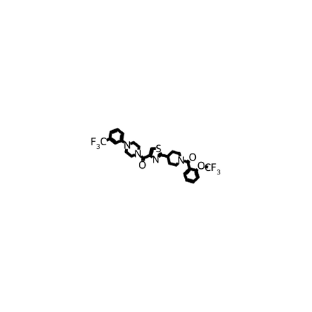 O=C(c1csc(C2CCN(C(=O)c3ccccc3OC(F)(F)F)CC2)n1)N1CCN(c2cccc(C(F)(F)F)c2)CC1